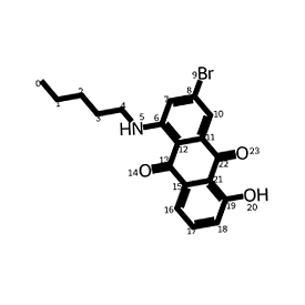 CCCCCNc1cc(Br)cc2c1C(=O)c1cccc(O)c1C2=O